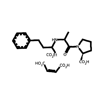 CCOC(=O)C(CCc1ccccc1)NC(C)C(=O)N1CCC[C@H]1C(=O)O.O=C(O)/C=C\C(=O)O